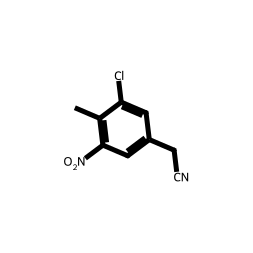 Cc1c(Cl)cc(CC#N)cc1[N+](=O)[O-]